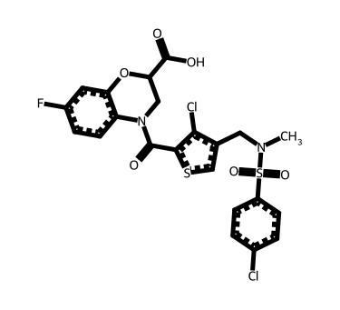 CN(Cc1csc(C(=O)N2CC(C(=O)O)Oc3cc(F)ccc32)c1Cl)S(=O)(=O)c1ccc(Cl)cc1